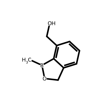 CB1OCc2cccc(CO)c21